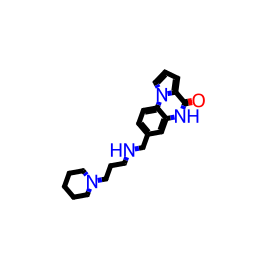 O=c1[nH]c2cc(CNCCCN3CCCCC3)ccc2n2cccc12